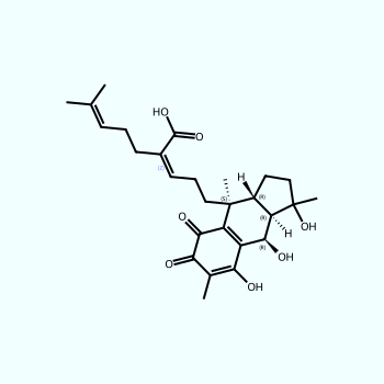 CC(C)=CCC/C(=C/CC[C@]1(C)C2=C(C(O)=C(C)C(=O)C2=O)[C@H](O)[C@H]2[C@H]1CCC2(C)O)C(=O)O